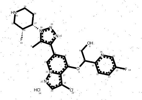 Cc1c(-c2cc(OC(CO)c3ccc(F)cn3)c3c(Cl)cnn3c2)nnn1[C@H]1CCNC[C@H]1F.Cl